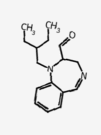 CCC(CC)CN1c2ccccc2C=NCC1C=O